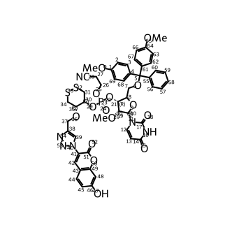 COc1ccc(C(OCC2O[C@@H](n3ccc(=O)[nH]c3=O)[C@H](OC)[C@@H]2OP(=O)(OCCC#N)O[C@@H]2CSSC[C@H]2OCc2cn(-c3cc4ccc(O)cc4oc3=O)nn2)(c2ccccc2)c2ccc(OC)cc2)cc1